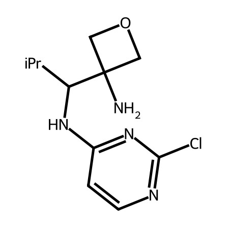 CC(C)C(Nc1ccnc(Cl)n1)C1(N)COC1